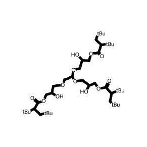 CC(C)(C)CC(C(=O)OCC(O)COCC(OCC(O)COC(=O)C(CC(C)(C)C)C(C)(C)C)OCC(O)COC(=O)C(CC(C)(C)C)C(C)(C)C)C(C)(C)C